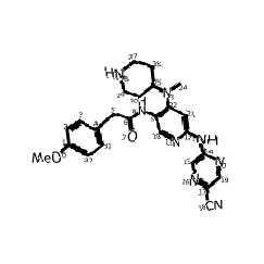 COc1ccc(CC(=O)Nc2cnc(Nc3cnc(C#N)cn3)cc2N(C)C2CCNCC2)cc1